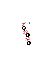 CCCCCCCCOc1ccc(C(=O)Oc2ccc(OC(=O)c3[c]cccc3)cc2)cc1